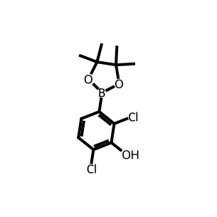 CC1(C)OB(c2ccc(Cl)c(O)c2Cl)OC1(C)C